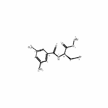 CCCCOC(=O)[C@@H](CC(C)C)NC(=O)c1cc([N+](=O)[O-])cc([N+](=O)[O-])c1